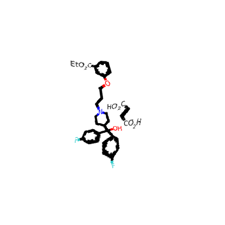 CCOC(=O)c1cccc(OCCCN2CCC(C(O)(c3ccc(F)cc3)c3ccc(F)cc3)CC2)c1.O=C(O)/C=C/C(=O)O